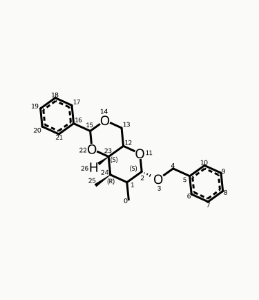 CC1[C@@H](OCc2ccccc2)OC2COC(c3ccccc3)O[C@H]2[C@@H]1C